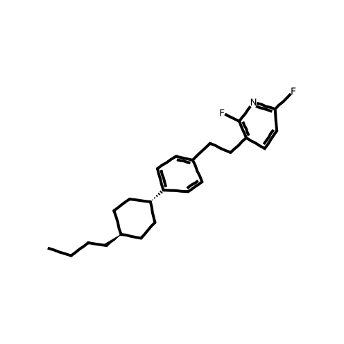 CCCC[C@H]1CC[C@H](c2ccc(CCc3ccc(F)nc3F)cc2)CC1